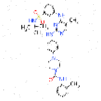 Cc1ccccc1NC(=O)N1CCN(c2ccc(Nc3ncc(C)c(Nc4cccc(S(=O)(=O)NC(C)(C)C)c4)n3)cc2)CC1